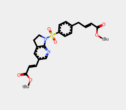 CC(C)(C)OC(=O)C=CCc1ccc(S(=O)(=O)N2CCc3cc(C=CC(=O)OC(C)(C)C)cnc32)cc1